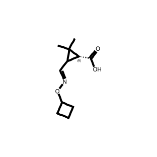 CC1(C)C(C=NOC2CCC2)[C@H]1C(=O)O